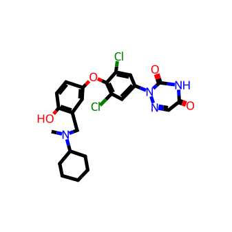 CN(Cc1cc(Oc2c(Cl)cc(-n3ncc(=O)[nH]c3=O)cc2Cl)ccc1O)C1CCCCC1